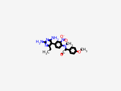 CCc1nc(N)nc(N)c1-c1ccc(N(C)C(=C=O)c2ccc(OC)cc2)c([N+](=O)[O-])c1